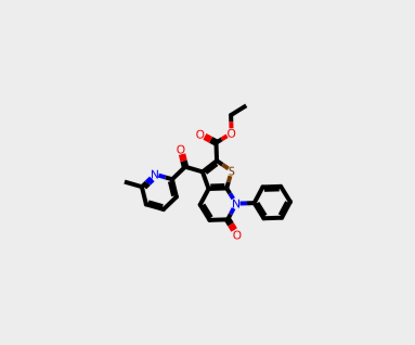 CCOC(=O)c1sc2c(ccc(=O)n2-c2ccccc2)c1C(=O)c1cccc(C)n1